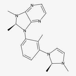 Cc1c(N2C=CN(C)[C@H]2C)cccc1N1c2nccnc2N(C)[C@@H]1C